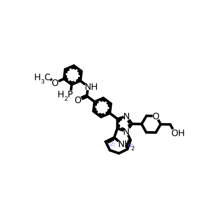 COc1cccc(NC(=O)c2ccc(-c3nc(C4CCC(CO)OC4)n4c3/C(N)=C/CC/C=C\4)cc2)c1P